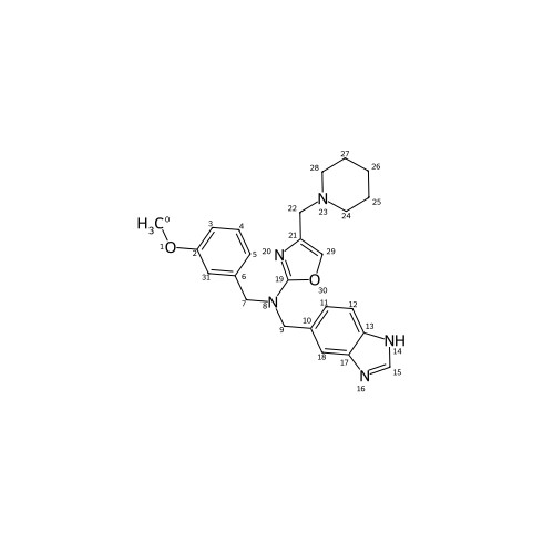 COc1cccc(CN(Cc2ccc3[nH]cnc3c2)c2nc(CN3CCCCC3)co2)c1